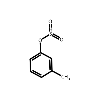 Cc1cccc(O[SH](=O)=O)c1